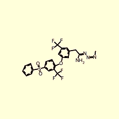 C/N=N\N=C(/N)Cc1cc(Oc2ccc(S(=O)(=O)c3ccccc3)cc2C(F)(F)F)cc(C(F)(F)F)c1